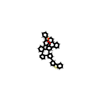 c1ccc2c(c1)-c1cc(-c3ccc4sc5ccccc5c4c3)ccc1-c1cc3c4ccccc4c4ccccc4c3cc1-c1c(-c3ccc4sc5ccccc5c4c3)cccc1-2